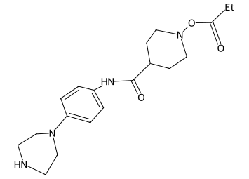 CCC(=O)ON1CCC(C(=O)Nc2ccc(N3CCNCC3)cc2)CC1